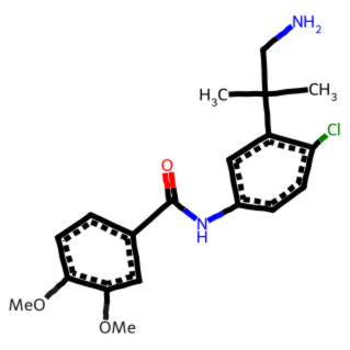 COc1ccc(C(=O)Nc2ccc(Cl)c(C(C)(C)CN)c2)cc1OC